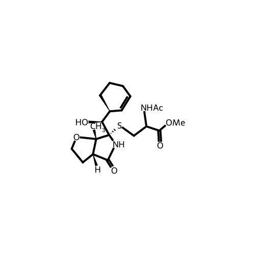 COC(=O)C(CS[C@]1([C@@H](O)[C@@H]2C=CCCC2)NC(=O)[C@@H]2CCO[C@@]21C)NC(C)=O